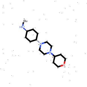 CC(C)(C)N[C@H]1CC[C@H](N2CCN(C3CCOCC3)CC2)CC1